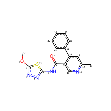 COc1nnc(NC(=O)c2cnc(C)cc2-c2ccccc2)s1